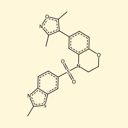 Cc1nc2ccc(S(=O)(=O)N3CCOc4ccc(-c5c(C)noc5C)cc43)cc2s1